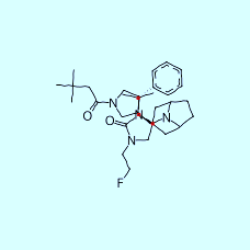 CC(C)N1C(=O)N(CCF)CC12CC1CCC(C2)N1C[C@H]1CN(C(=O)CC(C)(C)C)C[C@@H]1c1ccccc1